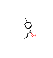 CC=C[C@](C)(O)c1ccc(C)cc1